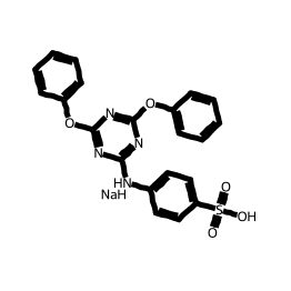 O=S(=O)(O)c1ccc(Nc2nc(Oc3ccccc3)nc(Oc3ccccc3)n2)cc1.[NaH]